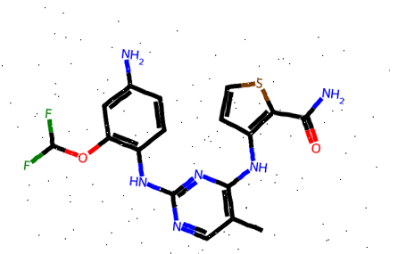 Cc1cnc(Nc2ccc(N)cc2OC(F)F)nc1Nc1ccsc1C(N)=O